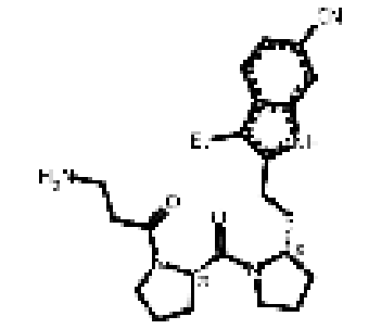 CCc1c(CC[C@@H]2CCCN2C(=O)[C@H]2CCCN2C(=O)CCN)[nH]c2cc(C#N)ccc12